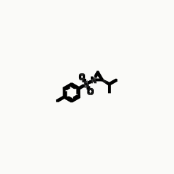 Cc1ccc(S(=O)(=O)N2C[C@H]2C(C)C)cc1